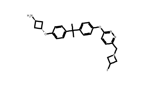 CC(C)(c1ccc(Oc2ccc(CN3CC(F)C3)nn2)cc1)c1ccc(O[C@H]2C[C@H](N)C2)cc1